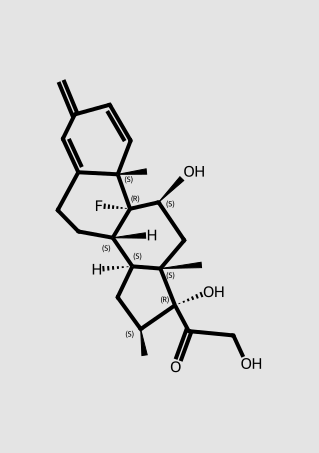 C=C1C=C[C@@]2(C)C(=C1)CC[C@H]1[C@@H]3C[C@H](C)[C@](O)(C(=O)CO)[C@@]3(C)C[C@H](O)[C@@]12F